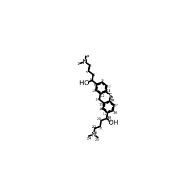 CN(C)CCCC(O)c1ccc2c(c1)Cc1cc(C(O)CCCN(C)C)ccc1S2